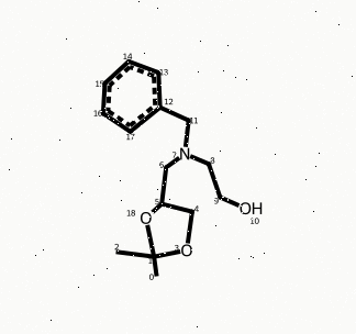 CC1(C)OCC(CN(CCO)Cc2ccccc2)O1